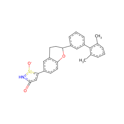 Cc1cccc(C)c1-c1cccc(C2CCc3cc(-c4cc(=O)[nH][s+]4[O-])ccc3O2)c1